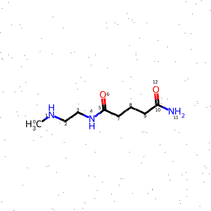 CNCCNC(=O)CCCC(N)=O